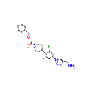 NCc1cn(-c2cc(F)c(C3=CCN(C(=O)COCc4ccccc4)CC3)c(F)c2)nn1